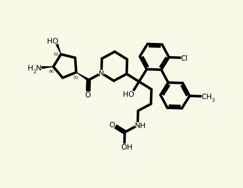 Cc1cccc(-c2c(Cl)cccc2C(O)(CCCNC(=O)O)C2CCCN(C(=O)[C@H]3C[C@@H](N)[C@@H](O)C3)C2)c1